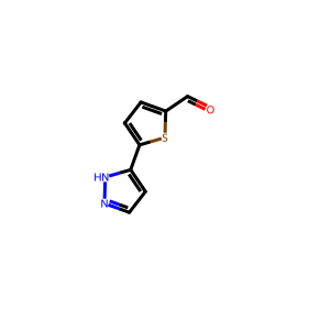 O=Cc1ccc(-c2ccn[nH]2)s1